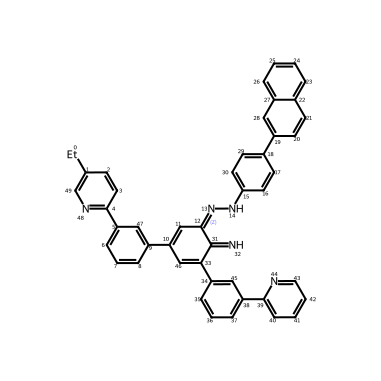 CCc1ccc(-c2cccc(C3=C/C(=N/Nc4ccc(-c5ccc6ccccc6c5)cc4)C(=N)C(c4cccc(-c5ccccn5)c4)=C3)c2)nc1